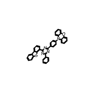 c1ccc(-c2nc(-c3ccc(N4c5ccccc5Oc5ccccc54)cc3)nc(-c3cccc4c3sc3ccccc34)n2)cc1